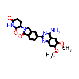 COc1cc2nc(-c3ccc4c(c3)CN(C3CCC(=O)NC3=O)C4=O)nc(N)c2cc1OC